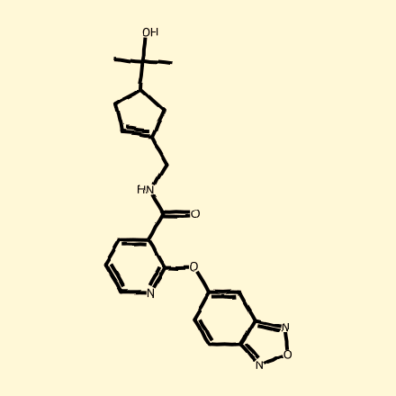 CC(C)(O)C1CC=C(CNC(=O)c2cccnc2Oc2ccc3nonc3c2)C1